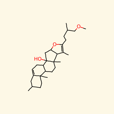 COCC(C)CCC1=C(C)C2C(CC3(O)C4CC=C5CC(C)CCC5(C)C4CCC23C)O1